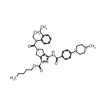 CCCCCOC(=O)n1nc([AsH]C(=O)c2ccc(N3CCN(C)CC3)cc2)c2c1CN(C(=O)N(CC)c1ccccc1CC)C2